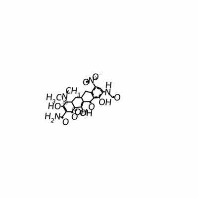 CN(C)[C@@H]1C(O)=C(C(N)=O)C(=O)[C@@]2(O)C(O)=C3C(=O)c4c(O)c(NC=O)cc([N+](=O)[O-])c4CC3CC12